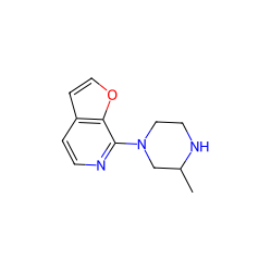 CC1CN(c2nccc3ccoc23)CCN1